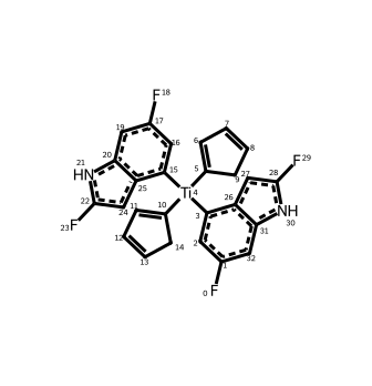 Fc1c[c]([Ti]([C]2=CC=CC2)([C]2=CC=CC2)[c]2cc(F)cc3[nH]c(F)cc23)c2cc(F)[nH]c2c1